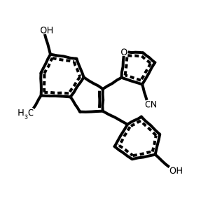 Cc1cc(O)cc2c1CC(c1ccc(O)cc1)=C2c1occc1C#N